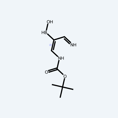 CC(C)(C)OC(=O)N/C=C(/BO)C=N